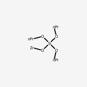 CCCO[Si]([O][Zr])(OCCC)OCCC